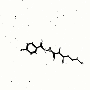 CC(C)SCC[C@@H](N)C(O)C(=O)NNC(=O)c1ccc(F)cc1